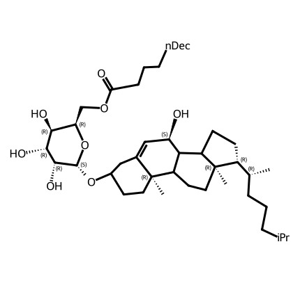 CCCCCCCCCCCCCC(=O)OC[C@H]1O[C@H](OC2CC[C@@]3(C)C(=C[C@@H](O)C4C3CC[C@@]3(C)C4CC[C@@H]3[C@H](C)CCCC(C)C)C2)[C@H](O)[C@H](O)[C@H]1O